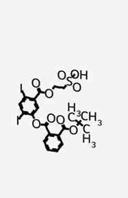 CC(C)(C)OC(=O)c1ccccc1C(=O)Oc1cc(C(=O)OCCS(=O)(=O)O)c(I)cc1I